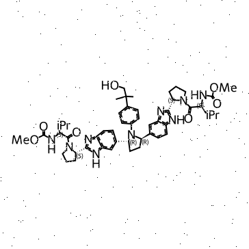 COC(=O)N[C@H](C(=O)N1CCC[C@H]1c1nc2cc([C@H]3CC[C@H](c4ccc5nc([C@@H]6CCCN6C(=O)[C@@H](NC(=O)OC)C(C)C)[nH]c5c4)N3c3ccc(C(C)(C)CO)cc3)ccc2[nH]1)C(C)C